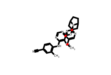 CCc1cnc(N2C3CCC2CC(Oc2ncnc(Nc4ccc(C#N)cc4C)c2C)C3)nc1